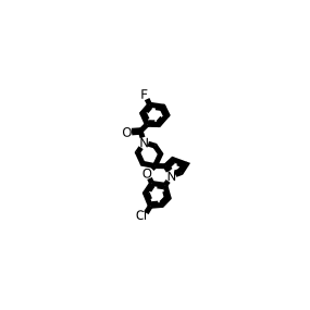 O=C(c1cccc(F)c1)N1CCC2(CC1)Oc1cc(Cl)ccc1-n1cccc12